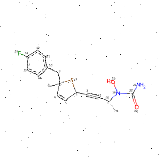 C[C@H](C#CC1C=CC(C)(Cc2ccc(F)cc2)S1)N(O)C(N)=O